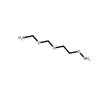 NCOCOCCON